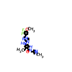 CCc1cc(Nc2nccn3c(-c4ccc(OC)c(F)c4F)cnc23)ccc1C(=O)NCc1cnn(C)c1